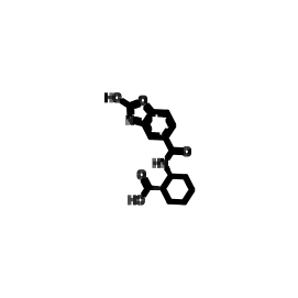 O=C(N[C@H]1CCCC[C@H]1C(=O)O)c1ccc2oc(O)nc2c1